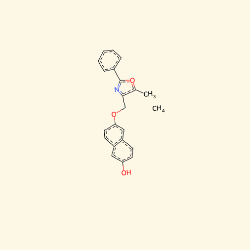 C.Cc1oc(-c2ccccc2)nc1COc1ccc2cc(O)ccc2c1